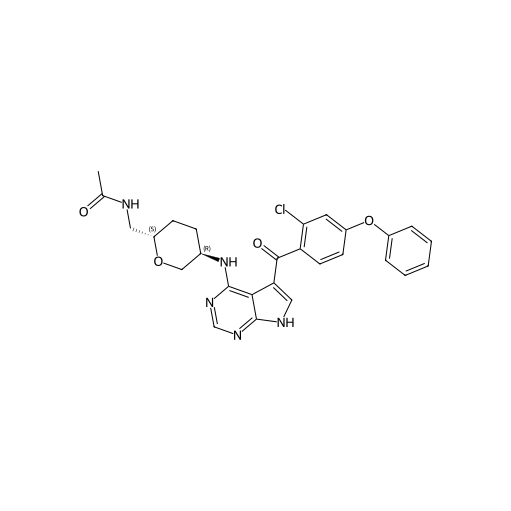 CC(=O)NC[C@@H]1CC[C@@H](Nc2ncnc3[nH]cc(C(=O)c4ccc(Oc5ccccc5)cc4Cl)c23)CO1